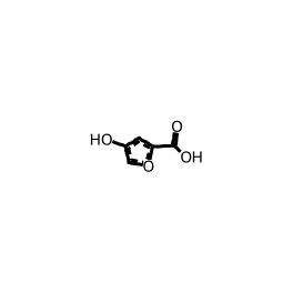 O=C(O)c1cc(O)co1